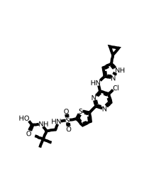 CC(C)(C)C(CNS(=O)(=O)c1ccc(-c2ncc(Cl)c(Nc3cc(C4CC4)[nH]n3)n2)s1)NC(=O)O